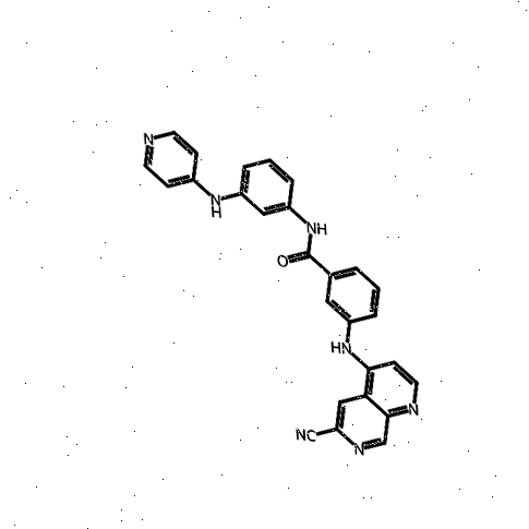 N#Cc1cc2c(Nc3cccc(C(=O)Nc4cccc(Nc5ccncc5)c4)c3)ccnc2cn1